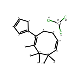 CC1=C(C2=CC=CC2)CCC=CC(C)(C)C1(C)C.[Cl][Ru]([Cl])[Cl]